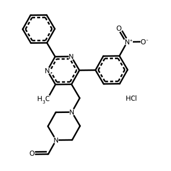 Cc1nc(-c2ccccc2)nc(-c2cccc([N+](=O)[O-])c2)c1CN1CCN(C=O)CC1.Cl